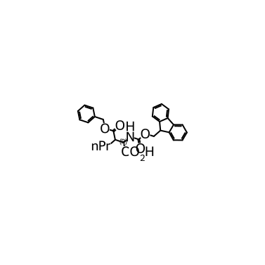 CCCC(C(=O)OCc1ccccc1)[C@@H](NC(=O)OCC1c2ccccc2-c2ccccc21)C(=O)O